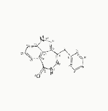 O=C1NN=C(Cc2ccccc2)c2c[nH]c3cccc1c23